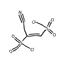 N#C/C(=C\S(=O)(=O)Cl)S(=O)(=O)Cl